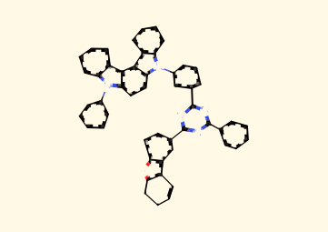 C1=Cc2c(oc3ccc(-c4nc(-c5ccccc5)nc(-c5cccc(-n6c7ccccc7c7c8c9ccccc9n(-c9ccccc9)c8ccc76)c5)n4)cc23)CC1